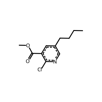 CCCCc1cnc(Cl)c(C(=O)OC)c1